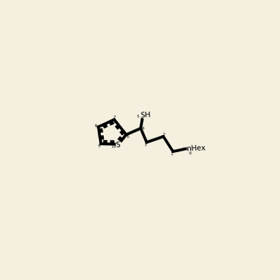 CCCCCCCCCC(S)c1cccs1